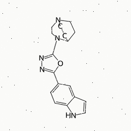 c1cc2cc(-c3nnc(N4CCN5CCC4CC5)o3)ccc2[nH]1